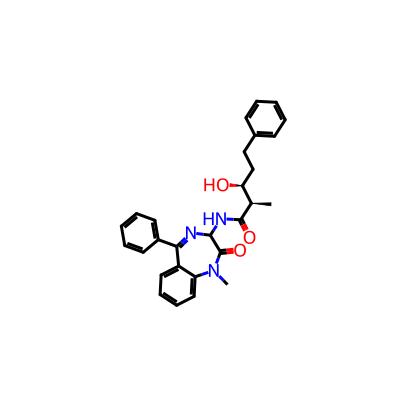 C[C@@H](C(=O)NC1N=C(c2ccccc2)c2ccccc2N(C)C1=O)[C@@H](O)CCc1ccccc1